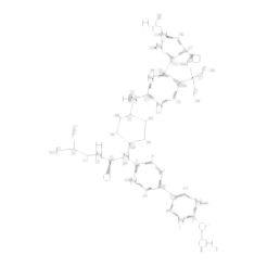 COc1ncc(-c2ccc(N(C(=O)NCC(F)F)C3CCC(Nc4ncc(C(F)(F)F)c(-c5nn(C)cc5Cl)n4)CC3)nc2)cn1